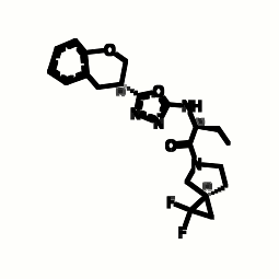 CC[C@H](Nc1nnc([C@H]2COc3ccccc3C2)o1)C(=O)N1CC[C@]2(C1)CC2(F)F